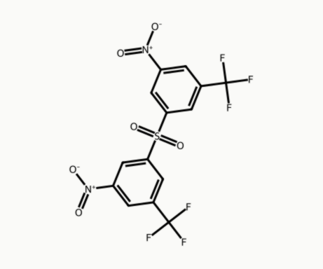 O=[N+]([O-])c1cc(C(F)(F)F)cc(S(=O)(=O)c2cc([N+](=O)[O-])cc(C(F)(F)F)c2)c1